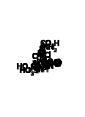 CCCC(OC(CCC)S(=O)(=O)O)S(=O)(=O)O.Nc1cc(COc2c(Cl)cc(C[C@H](N)C(=O)O)cc2Cl)c2oc(-c3ccccc3)nc2c1